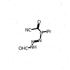 CC(C)N(N=NNC=O)C(=O)C#N